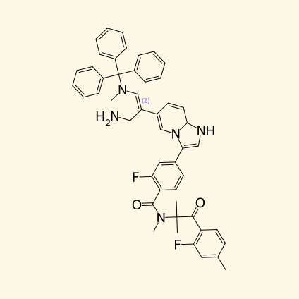 Cc1ccc(C(=O)C(C)(C)N(C)C(=O)c2ccc(C3=CNC4C=CC(/C(=C/N(C)C(c5ccccc5)(c5ccccc5)c5ccccc5)CN)=CN34)cc2F)c(F)c1